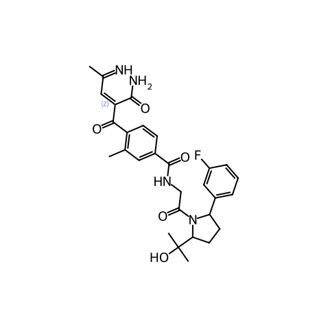 CC(=N)/C=C(\C(N)=O)C(=O)c1ccc(C(=O)NCC(=O)N2C(c3cccc(F)c3)CCC2C(C)(C)O)cc1C